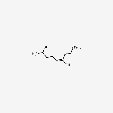 CCCCCCC/C(C)=C\CCC(C)O